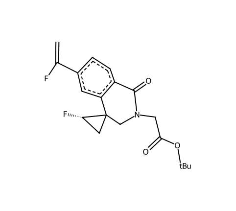 C=C(F)c1ccc2c(c1)C1(C[C@@H]1F)CN(CC(=O)OC(C)(C)C)C2=O